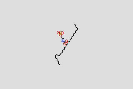 CCC/C=C\CCCCCCCCC(CCCCCCCC/C=C\C/C=C\CCCCC)OC(=O)N(C)CCCOS(C)(=O)=O